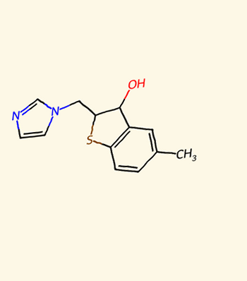 Cc1ccc2c(c1)C(O)C(Cn1ccnc1)S2